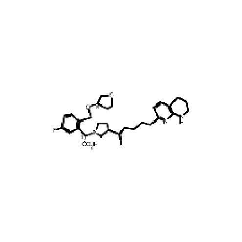 O=C(O)[C@H](c1cc(F)ccc1CO[C@@H]1CCOC1)N1CCC(C(I)CCCCc2ccc3c(n2)NCCC3)C1